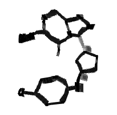 CNc1ncc2nnc([C@@H]3CC[C@@H](Nc4ccc(Cl)cc4)C3)n2c1C